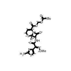 CON=C(C(=O)N[C@@H]1C(=O)N2C(C(=O)OCOC(=O)C(C)(C)C)=CCS[C@@H]12)c1csc(N)n1